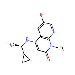 C[C@@H](Nc1cc(=O)n(C)c2ncc(Br)cc12)C1CC1